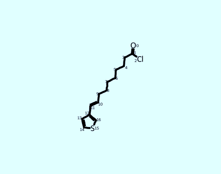 O=C(Cl)CCCCCCCC=Cc1ccsc1